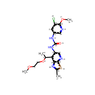 COCCOC(C)c1c(NC(=O)Nc2cnc(OC)c(Cl)c2)cnc2sc(C)nc12